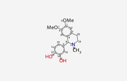 COc1cc2c(cc1OC)C(c1ccc(O)c(O)c1)N(C)CC2